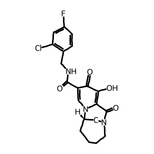 O=C(NCc1ccc(F)cc1Cl)c1cn2c(c(O)c1=O)C(=O)N1CCCC[C@H]2C1